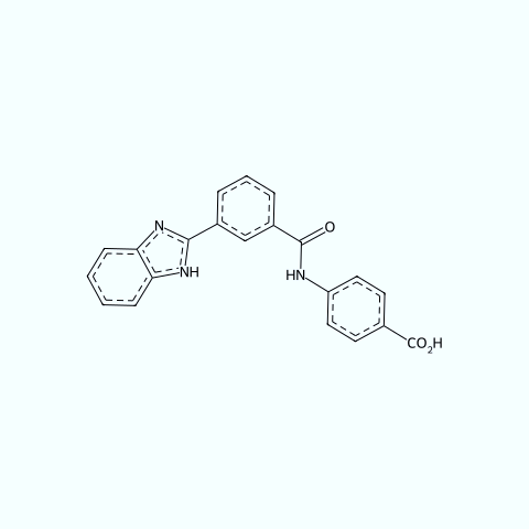 O=C(O)c1ccc(NC(=O)c2cccc(-c3nc4ccccc4[nH]3)c2)cc1